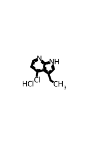 CCc1c[nH]c2nccc(Cl)c12.Cl